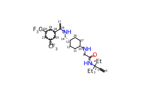 C#CC(CC)(CC)NC(=O)CN[C@H]1CC[C@H](CNC(=C)c2cc(C(F)(F)F)cc(C(F)(F)F)c2)CC1